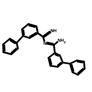 N=C(/N=C(\N)c1cccc(-c2ccccc2)c1)c1cccc(-c2ccccc2)c1